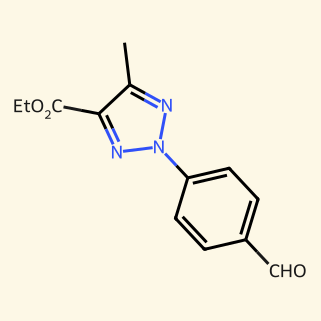 CCOC(=O)c1nn(-c2ccc(C=O)cc2)nc1C